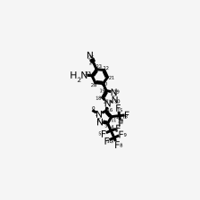 Cn1nc(C(F)(F)C(F)(F)F)c(C(F)(F)F)c1-n1cc(-c2ccc(C#N)c(N)c2)nn1